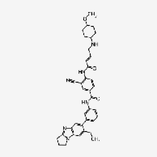 CCc1cc2c(cc1-c1cccc(NC(=O)c3ccc(NC(=O)/C=C/CNC4CCC(OC)CC4)c(C#N)c3)c1)nc1n2CCC1